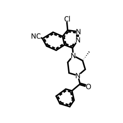 C[C@@H]1CN(C(=O)c2ccccc2)CCN1c1nnc(Cl)c2cc(C#N)ccc12